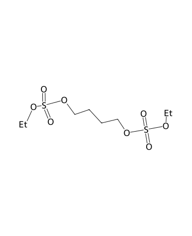 CCOS(=O)(=O)OCCCCOS(=O)(=O)OCC